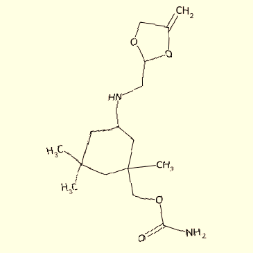 C=C1COC(CNC2CC(C)(C)CC(C)(COC(N)=O)C2)O1